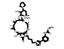 CC[C@H]1OC(=O)[C@H](C)C(=O)[C@H](C)[C@@H](O[C@@H]2O[C@H](C)CC(N3CCCC3)C2O)[C@](C)(OC)C[C@@H](C)CN[C@H](C)[C@H]2N(CCCCn3cc(-c4cccc(NC(=O)OC(C)(C)C)c4)nn3)C(=O)O[C@]12C